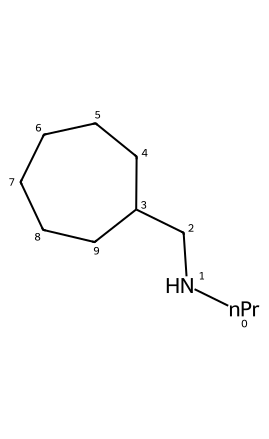 CCCNCC1CCCCCC1